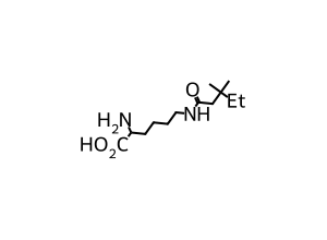 CCC(C)(C)CC(=O)NCCCCC(N)C(=O)O